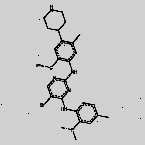 Cc1ccc(Nc2nc(Nc3cc(C)c(C4CCNCC4)cc3OC(C)C)ncc2Br)c(P(C)C)c1